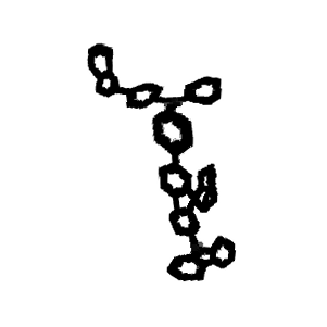 c1ccc(N(c2ccc(-c3ccc4c(c3)C3(c5cc(-n6c7ccccc7c7ccccc76)ccc5-4)C4CC5CC(C4)C3C5)cc2)c2ccc(-c3ccc4ccccc4c3)cc2)cc1